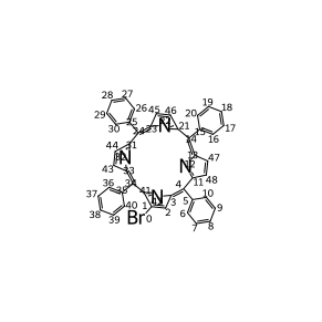 BrC1=CC2=C(c3ccccc3)C3=NC(=C(c4ccccc4)C4=NC(=C(c5ccccc5)C5=NC(=C(c6ccccc6)C1=N2)C=C5)C=C4)C=C3